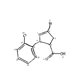 O=C(O)C1CC(Br)=NN1c1ncccc1Cl